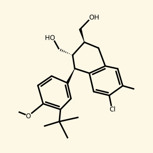 COc1ccc([C@@H]2c3cc(Cl)c(C)cc3C[C@H](CO)[C@H]2CO)cc1C(C)(C)C